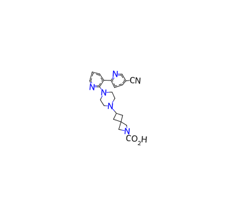 N#Cc1ccc(-c2cccnc2N2CCN(C3CC4(C3)CN(C(=O)O)C4)CC2)nc1